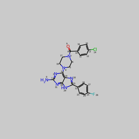 Nc1nc(N2CCN(C(=O)c3ccc(Cl)cc3)CC2)c2nc(-c3ccc(F)cc3)[nH]c2n1